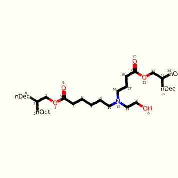 CCCCCCCCCCC(CCCCCCCC)COC(=O)CCCCCN(CCO)CCCC(=O)OCC(CCCCCCCC)CCCCCCCCCC